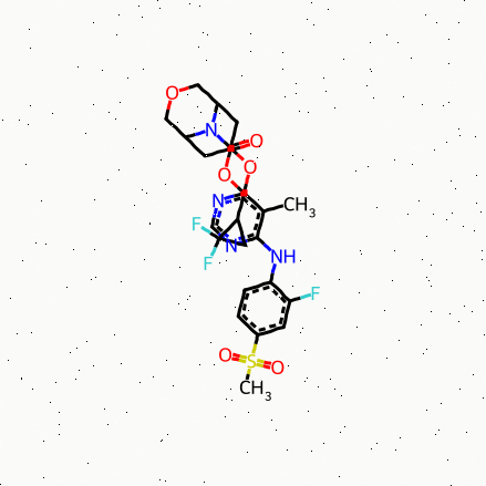 Cc1c(Nc2ccc(S(C)(=O)=O)cc2F)ncnc1OC1CC2COCC(C1)N2C(=O)OCC1CC1(F)F